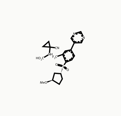 CO[C@@H]1CC[C@@H](S(=O)(=O)c2ccc(-c3cncnc3)cc2C(F)(F)F)C1.N#CC1(NC(=O)O)CC1